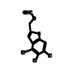 O=[C]OCc1cc2c(Cl)c(Cl)c(Cl)cc2s1